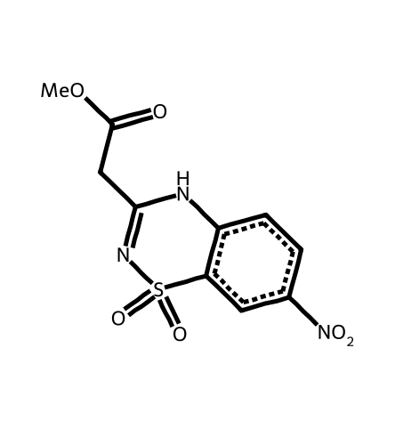 COC(=O)CC1=NS(=O)(=O)c2cc([N+](=O)[O-])ccc2N1